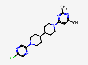 Cc1nc(C#N)cc(N2CCC(C3CCN(c4cnc(Cl)cn4)CC3)CC2)n1